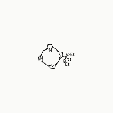 CCOP(=O)(OCC)C1=CC2=CC3=NC(=CC4=NC(=CC5=NC(=CC1=N2)C=C5)C=C4)C=C3